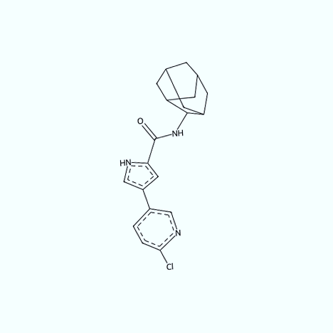 O=C(NC1C2CC3CC(C2)CC1C3)c1cc(-c2ccc(Cl)nc2)c[nH]1